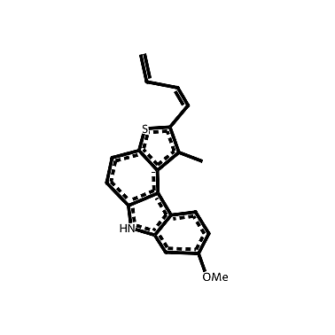 C=C/C=C\c1sc2ccc3[nH]c4cc(OC)ccc4c3c2c1C